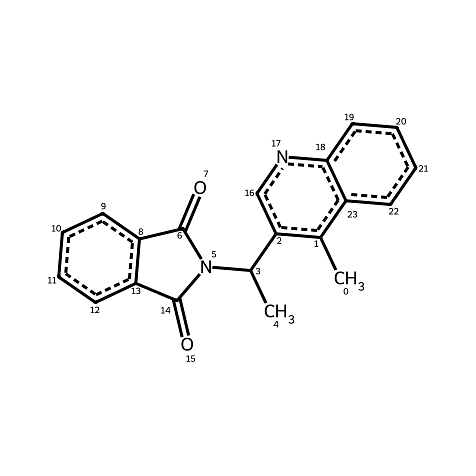 Cc1c(C(C)N2C(=O)c3ccccc3C2=O)cnc2ccccc12